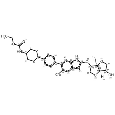 CCOC(=O)NC1CCN(c2ccc(-c3nc4[nH]c(O[C@@H]5CO[C@H]6[C@@H]5OC[C@H]6O)nc4cc3Cl)cc2)CC1